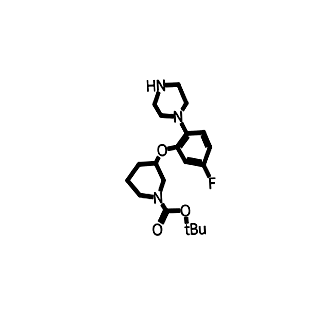 CC(C)(C)OC(=O)N1CCCC(Oc2cc(F)ccc2N2CCNCC2)C1